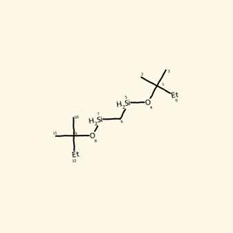 CCC(C)(C)O[SiH2]C[SiH2]OC(C)(C)CC